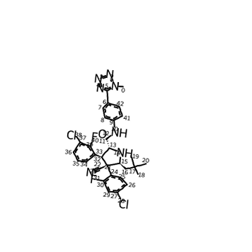 Cn1nnnc1-c1ccc(NC(=O)[C@@H]2N[C@@H](CC(C)(C)C)[C@](C#N)(c3ccc(Cl)cc3F)[C@H]2c2cccc(Cl)c2F)cc1